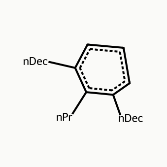 [CH2]CCc1c(CCCCCCCCCC)cccc1CCCCCCCCCC